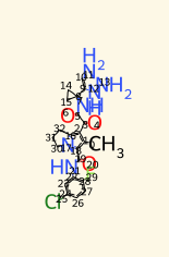 Cc1c(C(=O)C(=O)NC2(/C(=C/N)NN)CC2)c2n(c1C(=O)Nc1cc(Cl)ccc1F)CCC2